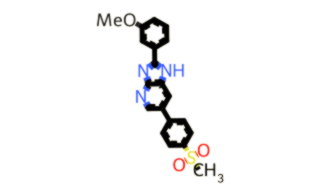 COc1cccc(-c2nc3ncc(-c4ccc(S(C)(=O)=O)cc4)cc3[nH]2)c1